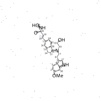 COc1ccc2c(CCN(CCO)[C@H]3CCc4cc(/C=C/C(=O)NO)ccc43)c[nH]c2c1